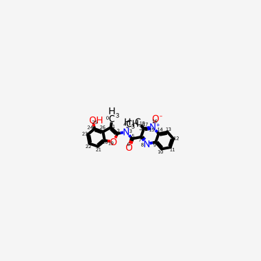 Cc1c(N(C)C(=O)c2nc3ccccc3[n+]([O-])c2C)oc2cccc(O)c12